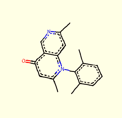 Cc1cc2c(cn1)c(=O)cc(C)n2-c1c(C)cccc1C